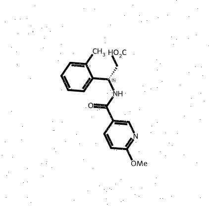 COc1ccc(C(=O)N[C@@H](CC(=O)O)c2ccccc2C)cn1